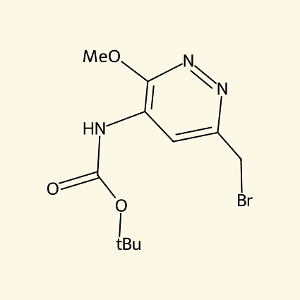 COc1nnc(CBr)cc1NC(=O)OC(C)(C)C